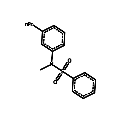 CCCc1cccc(N(C)S(=O)(=O)c2ccccc2)c1